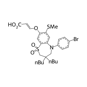 CCCCC1(CCCC)CN(c2ccc(Br)cc2)c2cc(SC)c(O/C=C/C(=O)O)cc2S(=O)(=O)C1